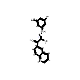 N#C/C(=N\Nc1cc(Cl)cc(Cl)c1)C(=O)c1ccc2ncccc2c1